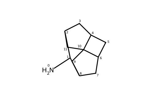 NC1C2CC3CC4CC1CC34C2